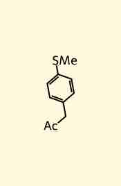 CSc1ccc(CC(C)=O)cc1